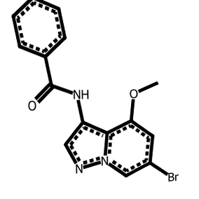 COc1cc(Br)cn2ncc(NC(=O)c3ccccc3)c12